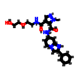 Cn1ncc(C(=O)NCCOCCO)c1C(=O)Nc1ccn2cc(-c3ccccc3)nc2c1